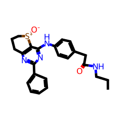 CCCNC(=O)Cc1ccc(Nc2nc(-c3ccccc3)nc3c2[S+]([O-])CCC3)cc1